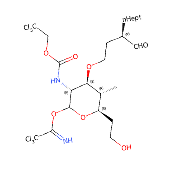 CCCCCCC[C@@H](C=O)CCO[C@H]1[C@H](C)[C@@H](CCO)OC(OC(=N)C(Cl)(Cl)Cl)[C@@H]1NC(=O)OCC(Cl)(Cl)Cl